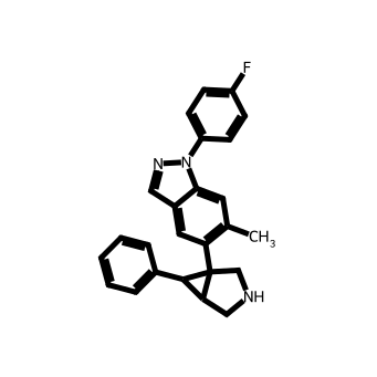 Cc1cc2c(cnn2-c2ccc(F)cc2)cc1C12CNCC1C2c1ccccc1